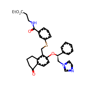 CCOC(=O)CCNC(=O)c1cccc(SCc2c(O[C@H](Cn3ccnc3)c3ccccc3)ccc3c2CCCC3=O)c1